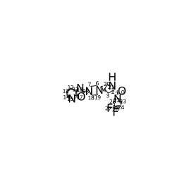 O=C([C@@H]1C[C@H](N2CCN(c3nc4cccnc4o3)CC2)CN1)N1CCC(F)(F)C1